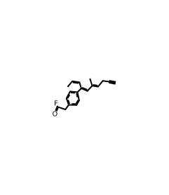 C#CC/C=C(C)/C=C(\C=C/C)c1ccc(CC(=O)F)cc1